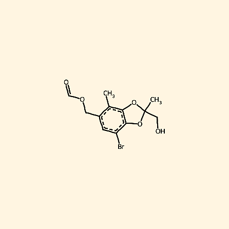 Cc1c(COC=O)cc(Br)c2c1OC(C)(CO)O2